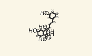 O=P(O)(O)c1ccc(O)cc1C(O)(O)CCCc1cccc(O)c1